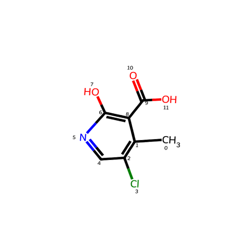 Cc1c(Cl)cnc(O)c1C(=O)O